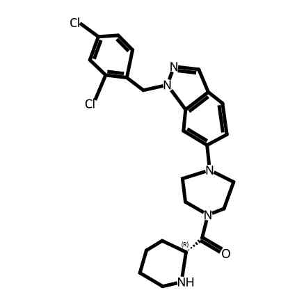 O=C([C@H]1CCCCN1)N1CCN(c2ccc3cnn(Cc4ccc(Cl)cc4Cl)c3c2)CC1